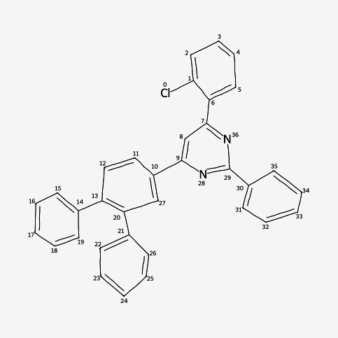 Clc1ccccc1-c1cc(-c2ccc(-c3ccccc3)c(-c3ccccc3)c2)nc(-c2ccccc2)n1